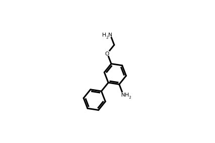 NCOc1ccc(N)c(-c2ccccc2)c1